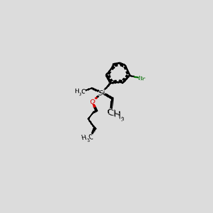 CCCCO[Si](CC)(CC)c1cccc(Br)c1